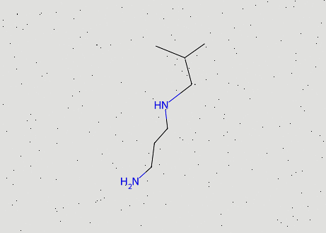 CC(C)[CH]NCCCN